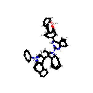 c1ccc(-n2c3ccc4ccccc4c3c3c4c5ccccc5n(-c5nc(-c6ccc7c(c6)oc6ccccc67)c6ccccc6n5)c4ccc32)cc1